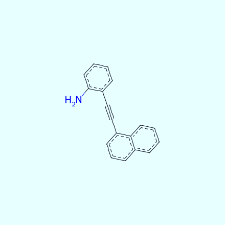 Nc1ccccc1C#Cc1cccc2ccccc12